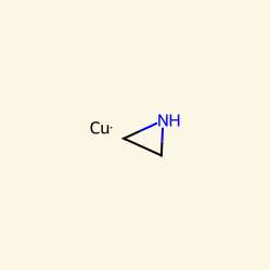 C1CN1.[Cu]